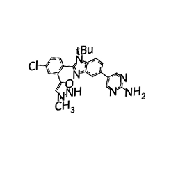 CN1C=C(c2cc(Cl)ccc2-c2nc3cc(-c4cnc(N)nc4)ccc3n2C(C)(C)C)ON1